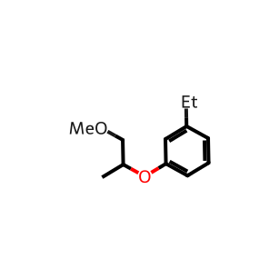 CCc1cccc(OC(C)COC)c1